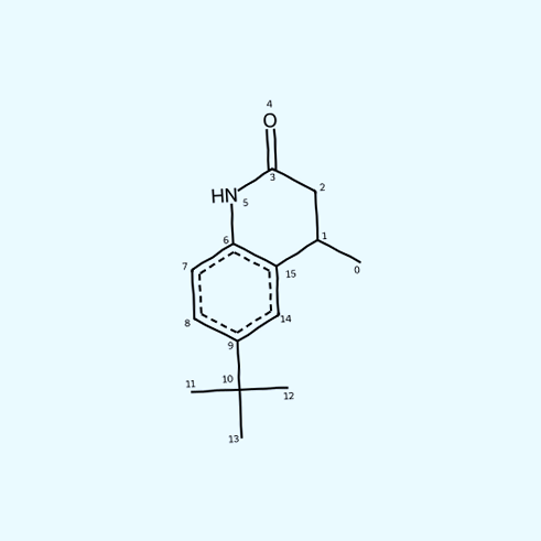 CC1CC(=O)Nc2ccc(C(C)(C)C)cc21